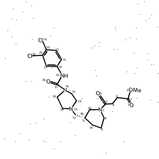 COC(=O)CCC(=O)N1CCC[C@H](CN2CCN(C(=O)Nc3ccc(Cl)c(Cl)c3)CC2)C1